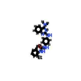 CCc1cccc(C(C)C)c1NC(=O)N[C@H]1CC[C@@H](Nc2nc3c(c(N(C)C)n2)CCCC3)CC1